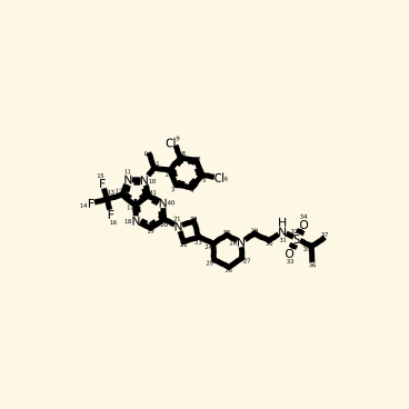 CC(c1ccc(Cl)cc1Cl)n1nc(C(F)(F)F)c2ncc(N3CC(C4CCCN(CCNS(=O)(=O)C(C)C)C4)C3)nc21